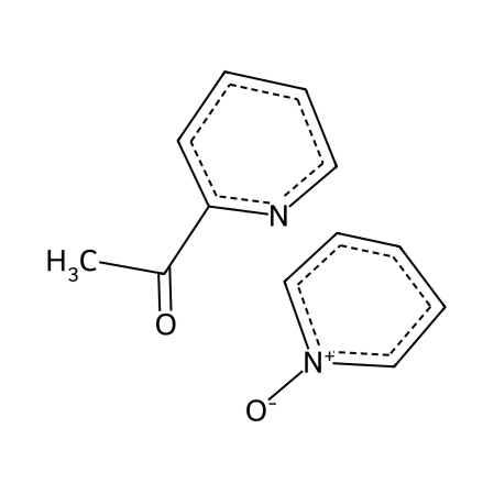 CC(=O)c1ccccn1.[O-][n+]1ccccc1